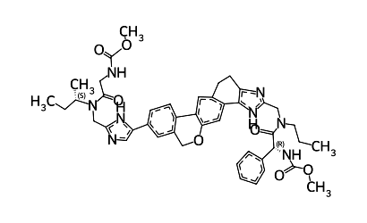 CCCN(Cc1nc2c([nH]1)-c1cc3c(cc1CC2)-c1ccc(-c2cnc(CN(C(=O)CNC(=O)OC)[C@@H](C)CC)[nH]2)cc1CO3)C(=O)[C@H](NC(=O)OC)c1ccccc1